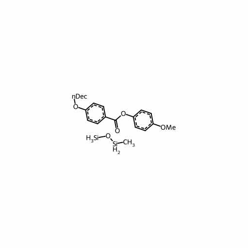 CCCCCCCCCCOc1ccc(C(=O)Oc2ccc(OC)cc2)cc1.C[SiH2]O[SiH3]